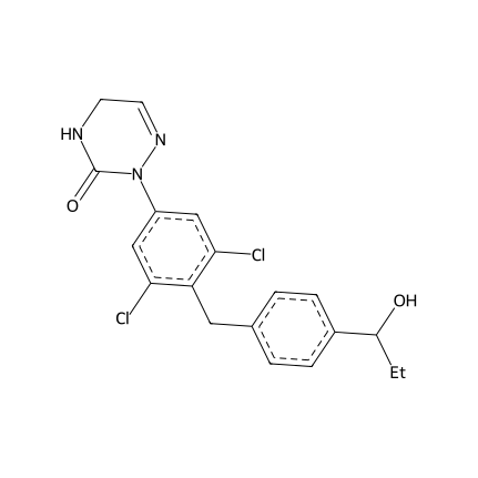 CCC(O)c1ccc(Cc2c(Cl)cc(N3N=CCNC3=O)cc2Cl)cc1